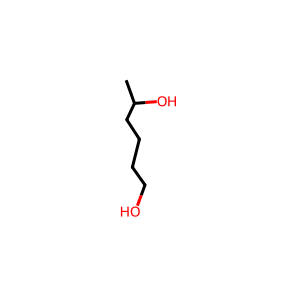 CC(O)CCCCO